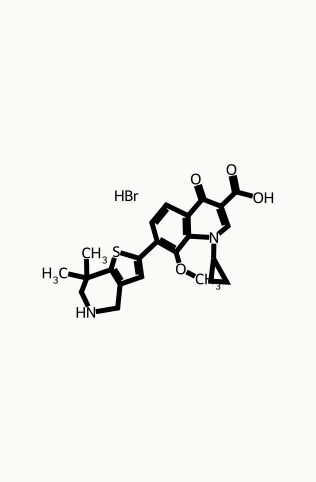 Br.COc1c(-c2cc3c(s2)C(C)(C)CNC3)ccc2c(=O)c(C(=O)O)cn(C3CC3)c12